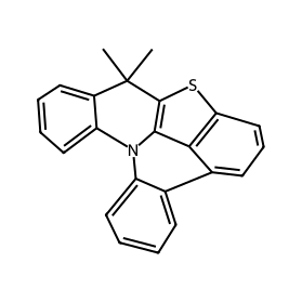 CC1(C)c2ccccc2N2c3ccccc3-c3cccc4sc1c2c34